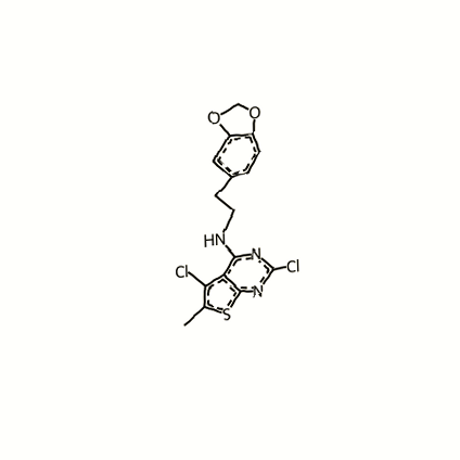 Cc1sc2nc(Cl)nc(NCCc3ccc4c(c3)OCO4)c2c1Cl